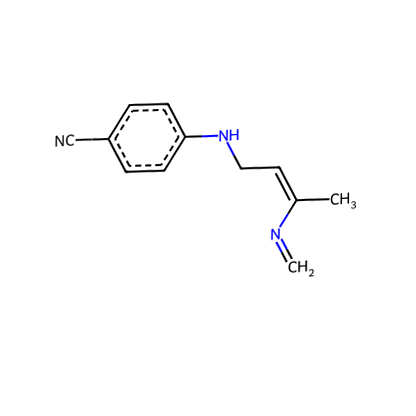 C=N/C(C)=C\CNc1ccc(C#N)cc1